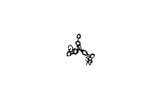 c1ccc(-c2ccc(N(c3ccc(-c4cccc5c4sc4cnccc45)cc3)c3ccc4c(c3)oc3ccccc34)cc2)cc1